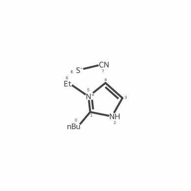 CCCCc1[nH]cc[n+]1CC.N#C[S-]